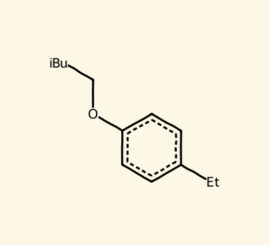 CCc1ccc(OCC(C)CC)cc1